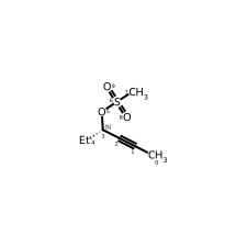 CC#C[C@H](CC)OS(C)(=O)=O